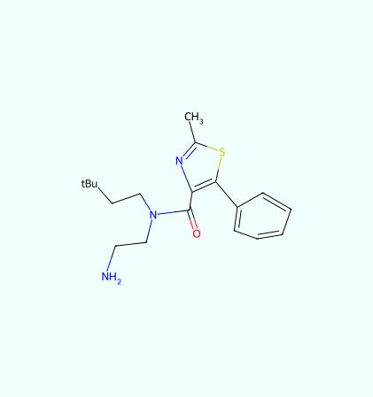 Cc1nc(C(=O)N(CCN)CCC(C)(C)C)c(-c2ccccc2)s1